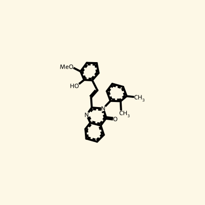 COc1cccc(C=Cc2nc3ccccc3c(=O)n2-c2cccc(C)c2C)c1O